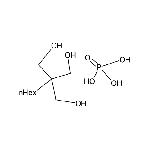 CCCCCCC(CO)(CO)CO.O=P(O)(O)O